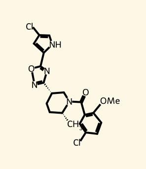 COc1ccc(Cl)cc1C(=O)N1C[C@@H](c2noc(-c3cc(Cl)c[nH]3)n2)CC[C@H]1C